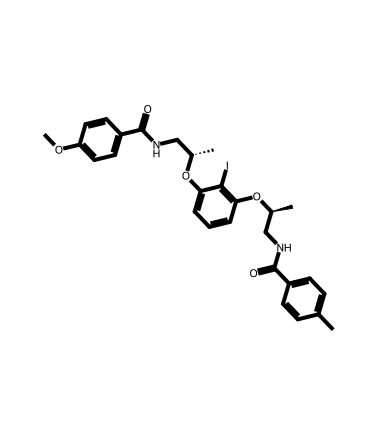 COc1ccc(C(=O)NC[C@H](C)Oc2cccc(O[C@@H](C)CNC(=O)c3ccc(C)cc3)c2I)cc1